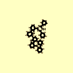 c1ccc(C2=NC(c3cccc4c3sc3c(-c5cccc6c5sc5cccc(-n7c8ccccc8c8ccccc87)c56)cccc34)=NC(c3ccccc3)N2)cc1